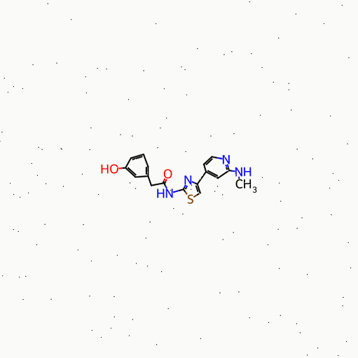 CNc1cc(-c2csc(NC(=O)Cc3cccc(O)c3)n2)ccn1